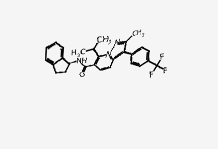 Cc1nn2c(C(C)C)c(C(=O)N[C@H]3CCc4ccccc43)ccc2c1-c1ccc(C(F)(F)F)cc1